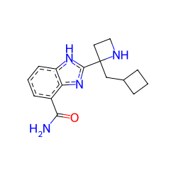 NC(=O)c1cccc2[nH]c(C3(CC4CCC4)CCN3)nc12